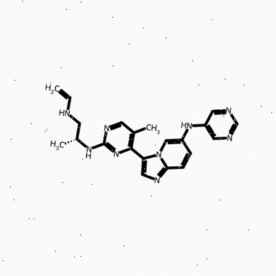 C=CNC[C@@H](C)Nc1ncc(C)c(-c2cnc3ccc(Nc4cncnc4)cn23)n1